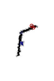 CCCCCCCCCC(CCCCCC/C=C\CCCCCCCC(=O)OCC)N(C)C